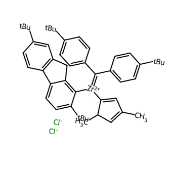 CC1=CC(C)[C]([Zr+2](=[C](c2ccc(C(C)(C)C)cc2)c2ccc(C(C)(C)C)cc2)[c]2c(C(C)(C)C)ccc3c2Cc2cc(C(C)(C)C)ccc2-3)=C1.[Cl-].[Cl-]